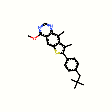 COc1ncnc2c(C)c3c(C)c(-c4ccc(CC(C)(C)C)cc4)sc3cc12